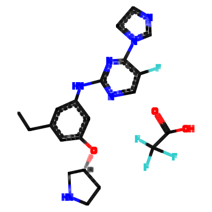 CCc1cc(Nc2ncc(F)c(-n3ccnc3)n2)cc(O[C@@H]2CCNC2)c1.O=C(O)C(F)(F)F